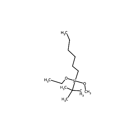 CCCCCC[Si](OC)(OCC)C(C)(C)C